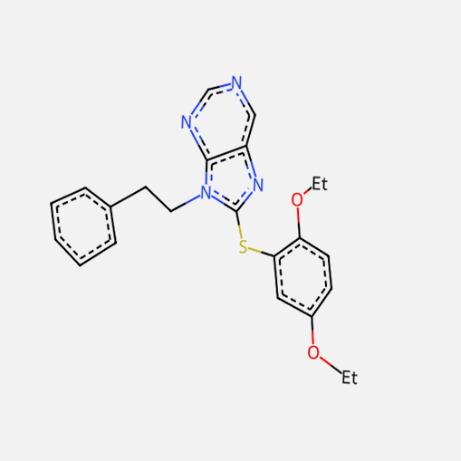 CCOc1ccc(OCC)c(Sc2nc3cncnc3n2CCc2ccccc2)c1